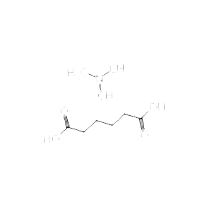 CN(C)C.O=C(O)CCCCC(=O)O